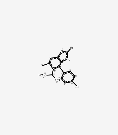 Cc1cc2nc(Br)sc2c(-c2ccc(Cl)cc2)c1C(O)C(=O)O